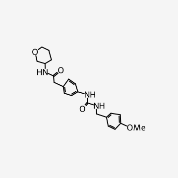 COc1ccc(CNC(=O)Nc2ccc(CC(=O)NC3CCCOC3)cc2)cc1